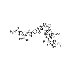 CC[C@H](C)[C@@H]([C@@H](CC(=O)N1CCC[C@H]1[C@H](OC)[C@@H](C)C(=O)NS(=O)(=O)c1ccc(NC(=O)[C@H](CCCNC(N)=O)NC(=O)[C@@H](N)C(C)C)cc1)OC)N(C)C(=O)[C@@H](NC(=O)[C@H](C(C)C)N(C)C)C(C)C